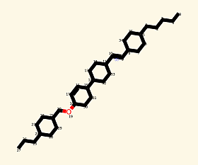 CCCCCC1CCC(/C=C/C2CCC(C3C=CC(OCC4CCC(CCC)CC4)CC3)CC2)CC1